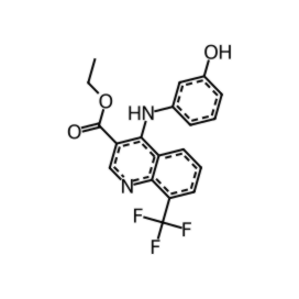 CCOC(=O)c1cnc2c(C(F)(F)F)cccc2c1Nc1cccc(O)c1